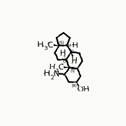 C[C@@]12CCC[C@H]1[C@@H]1CCC3C[C@@H](O)CC(N)[C@]3(C)[C@H]1CC2